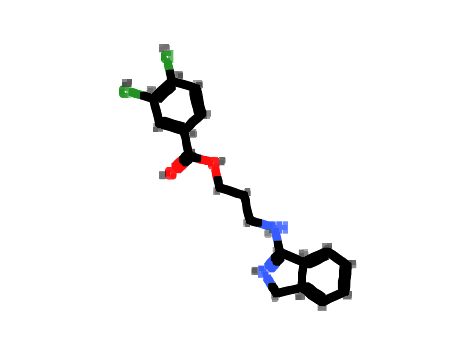 O=C(OCCCNC1=NCc2ccccc21)c1ccc(Cl)c(Cl)c1